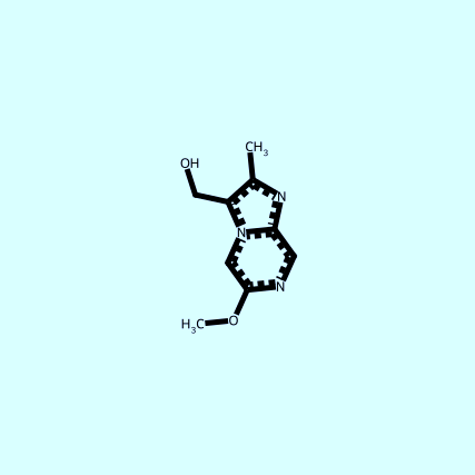 COc1cn2c(CO)c(C)nc2cn1